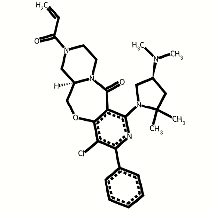 C=CC(=O)N1CCN2C(=O)c3c(N4C[C@@H](N(C)C)CC4(C)C)nc(-c4ccccc4)c(Cl)c3OC[C@H]2C1